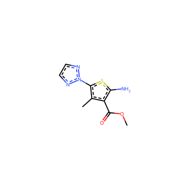 COC(=O)c1c(N)sc(-n2nccn2)c1C